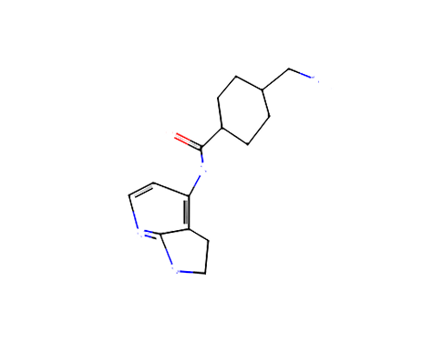 NCC1CCC(C(=O)Nc2ccnc3c2CCN3)CC1